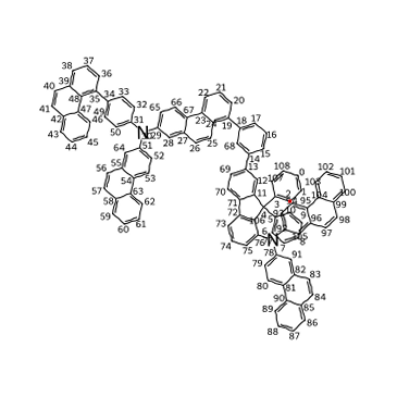 c1ccc(C2(c3ccccc3)c3cc(-c4cccc(-c5cccc6c5ccc5cc(N(c7ccc(-c8cccc9ccc%10ccccc%10c89)cc7)c7ccc8c(ccc9ccccc98)c7)ccc56)c4)ccc3-c3cccc(N(c4ccc5c(ccc6ccccc65)c4)c4ccc5c(ccc6ccccc65)c4)c32)cc1